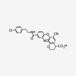 N#Cc1cc2c(cc1Oc1ccc(C(=O)NCCc3ccc(Cl)cc3)cc1[N+](=O)[O-])OCCC2C(=O)O